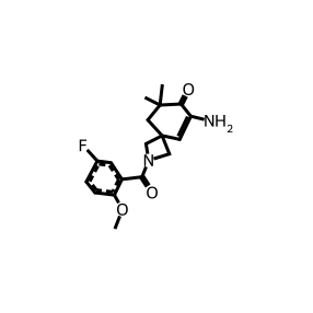 COc1ccc(F)cc1C(=O)N1CC2(C=C(N)C(=O)C(C)(C)C2)C1